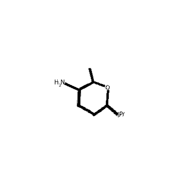 CC(C)C1CCC(N)C(C)O1